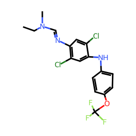 CCN(C)C=Nc1cc(Cl)c(Nc2ccc(OC(F)(F)F)cc2)cc1Cl